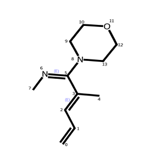 C=C/C=C(C)/C(=N\C)N1CCOCC1